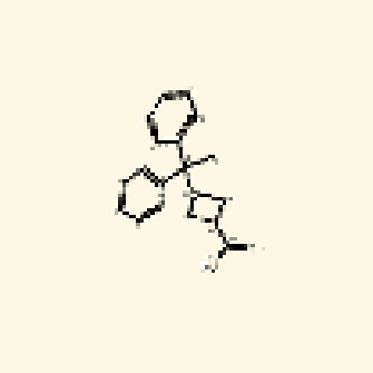 CC(c1ccccc1)(c1ccccc1)N1CC(C(=O)O)C1